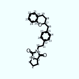 O=C1C2CCCN2C(=O)N1CCc1ccc(CC2CCc3ccccc3O2)cc1